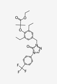 CCOC(=O)C(C)(C)Oc1c(CC)cc(Cn2ncn(-c3ccc(C(F)(F)F)cc3)c2=O)cc1CC